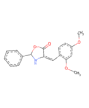 COc1ccc(/C=C2/NC(c3ccccc3)OC2=O)c(OC)c1